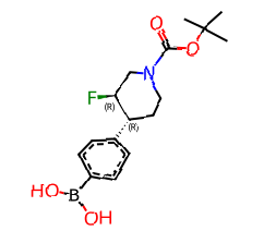 CC(C)(C)OC(=O)N1CC[C@H](c2ccc(B(O)O)cc2)[C@@H](F)C1